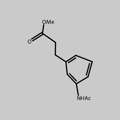 COC(=O)CCc1cccc(NC(C)=O)c1